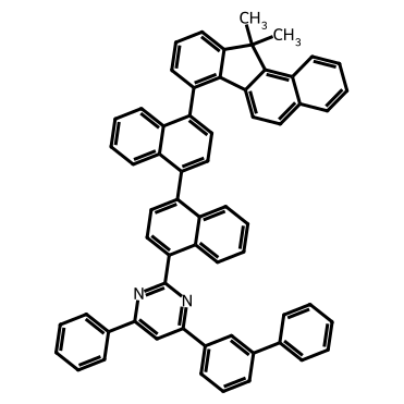 CC1(C)c2cccc(-c3ccc(-c4ccc(-c5nc(-c6ccccc6)cc(-c6cccc(-c7ccccc7)c6)n5)c5ccccc45)c4ccccc34)c2-c2ccc3ccccc3c21